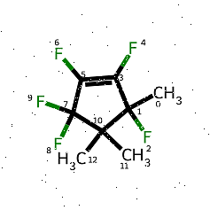 CC1(F)C(F)=C(F)C(F)(F)C1(C)C